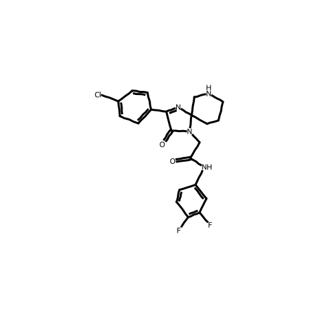 O=C(CN1C(=O)C(c2ccc(Cl)cc2)=NC12CCCNC2)Nc1ccc(F)c(F)c1